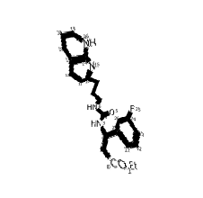 CCOC(=O)CC(NC(=O)NCCCc1ccc2c(n1)NCCC2)c1cccc(F)c1